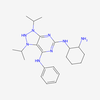 CC(C)N1NN(C(C)C)c2c(Nc3ccccc3)nc(NC3CCCCC3N)nc21